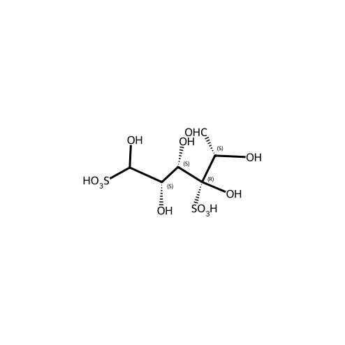 O=C[C@H](O)[C@@](O)([C@@H](O)[C@H](O)C(O)S(=O)(=O)O)S(=O)(=O)O